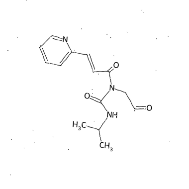 CC(C)NC(=O)N(C[C]=O)C(=O)C=Cc1ccccn1